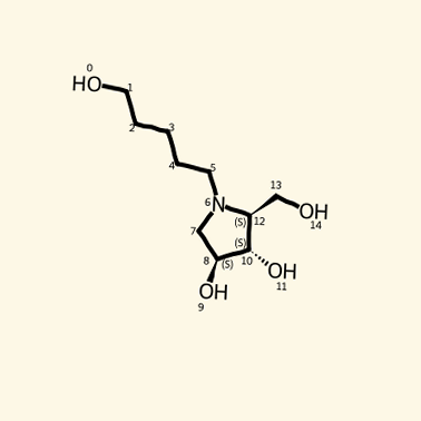 OCCCCCN1C[C@H](O)[C@@H](O)[C@@H]1CO